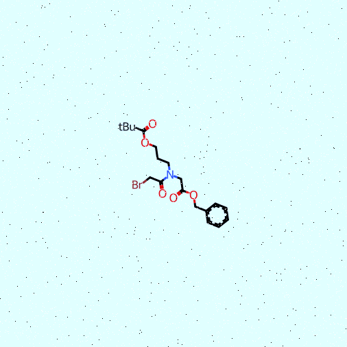 CC(C)(C)C(=O)OCCCN(CC(=O)OCc1ccccc1)C(=O)CBr